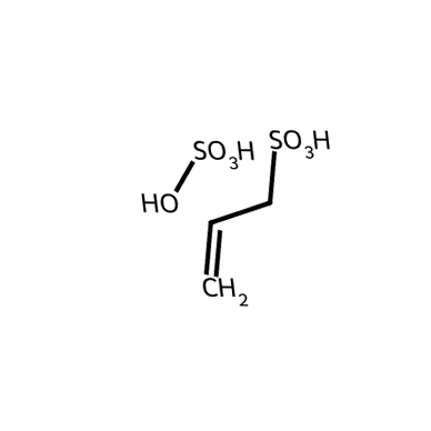 C=CCS(=O)(=O)O.O=S(=O)(O)O